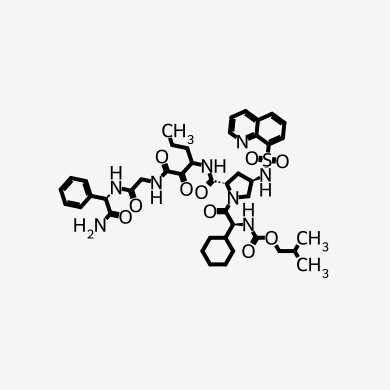 CCCC(NC(=O)[C@@H]1C[C@@H](NS(=O)(=O)c2cccc3cccnc23)CN1C(=O)[C@@H](NC(=O)OCC(C)C)C1CCCCC1)C(=O)C(=O)NCC(=O)N[C@H](C(N)=O)c1ccccc1